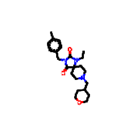 CCN1C(=O)N(Cc2ccc(C)cc2)C(=O)C12CCN(CC1CCOCC1)CC2